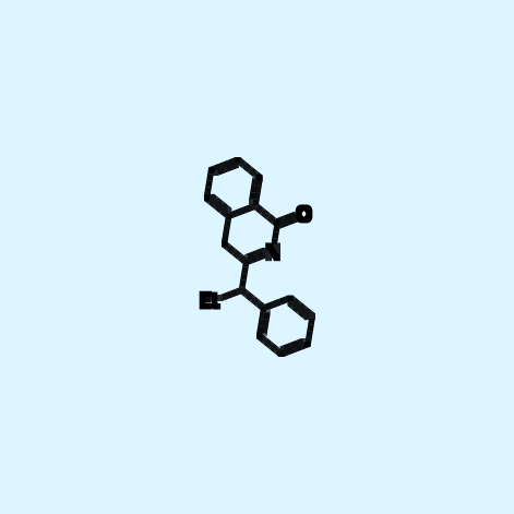 CCC(C1=NC(=O)c2ccccc2C1)c1ccccc1